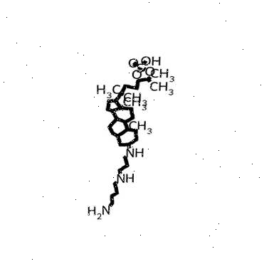 CC(C)C(CCC(C)(C)C1CCC2C3CCC4CC(NCCCNCCCCN)CCC4(C)C3CCC21C)OS(=O)(=O)O